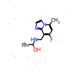 Cc1cc(F)c(CNC(O)C(C)(C)C)c2nccn12